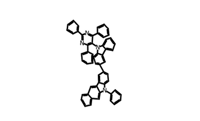 c1ccc(-c2nc(-c3ccccc3)c(-n3c4ccccc4c4cc(-c5ccc6c(c5)c5cc7ccccc7cc5n6-c5ccccc5)ccc43)c(-c3ccccc3)n2)cc1